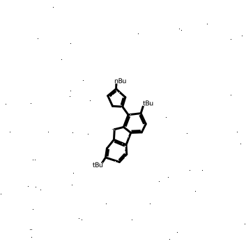 CCCCC1=CCC(c2c(C(C)(C)C)ccc3c2[CH]c2cc(C(C)(C)C)ccc2-3)=C1